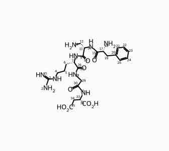 N=C(N)NCCC[C@H](NC(=O)[C@H](CN)NC(=O)[C@H](N)Cc1ccccc1)C(=O)NCC(=O)N[C@@H](CC(=O)O)C(=O)O